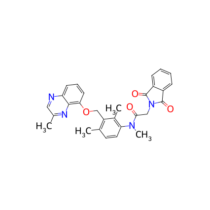 Cc1cnc2cccc(OCc3c(C)ccc(N(C)C(=O)CN4C(=O)c5ccccc5C4=O)c3C)c2n1